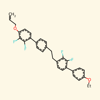 C=CCOc1ccc(-c2ccc(CCc3ccc(-c4ccc(OCC)cc4)c(F)c3F)cc2)c(F)c1F